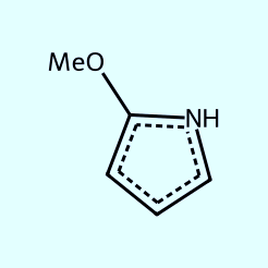 [C]Oc1ccc[nH]1